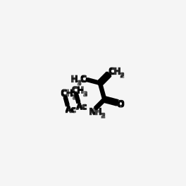 C=C(C)C(N)=O.CC(C)=O.CC(C)=O